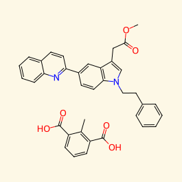 COC(=O)Cc1cn(CCc2ccccc2)c2ccc(-c3ccc4ccccc4n3)cc12.Cc1c(C(=O)O)cccc1C(=O)O